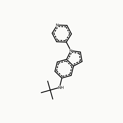 CC(C)(C)Nc1ccc2c(ccn2-c2ccncc2)c1